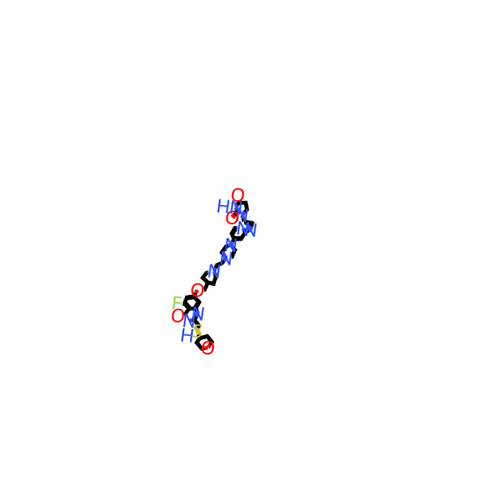 O=C1CCN(c2cnc3cc(N4CCN(CCN5CCC(COc6cc(F)c7c(=O)[nH]c(CSC8CCOCC8)nc7c6)CC5)CC4)ccn23)C(=O)N1